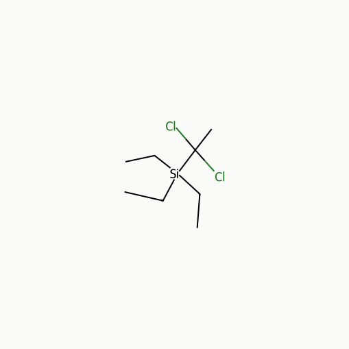 CC[Si](CC)(CC)C(C)(Cl)Cl